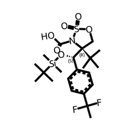 CC(F)(F)c1ccc([C@H](O[Si](C)(C)C(C)(C)C)[C@@]2(C(C)(C)C)COS(=O)(=O)N2C(=O)O)cc1